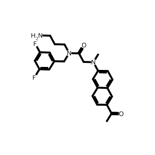 CC(=O)c1ccc2cc(N(C)CC(=O)N(CCCN)Cc3cc(F)cc(F)c3)ccc2c1